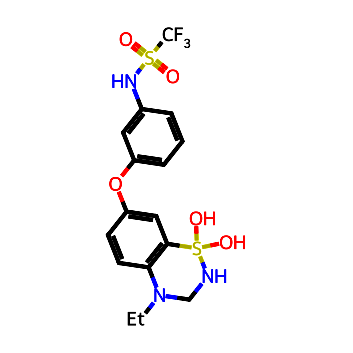 CCN1CNS(O)(O)c2cc(Oc3cccc(NS(=O)(=O)C(F)(F)F)c3)ccc21